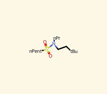 CCCCCS(=O)(=O)N(CCC)CCC(C)(C)C